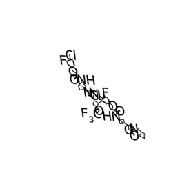 O=C(COc1ccc(Cl)c(F)c1)NC1CC2(n3cnc(C4CC(OC(F)(F)F)C4c4cc(OCC(=O)NC56CC(C7CN(CC8CCC8)C(=O)O7)(C5)C6)cc(F)c4Cl)c3)CC1C2